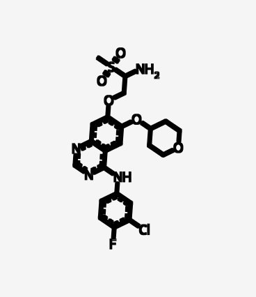 CS(=O)(=O)C(N)COc1cc2ncnc(Nc3ccc(F)c(Cl)c3)c2cc1OC1CCOCC1